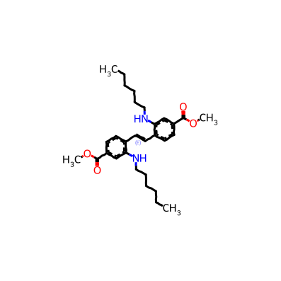 CCCCCCNc1cc(C(=O)OC)ccc1/C=C/c1ccc(C(=O)OC)cc1NCCCCCC